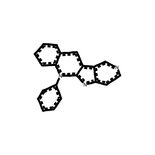 c1ccc(-n2c3nc4ccncc4c-3cc3ccccc32)cc1